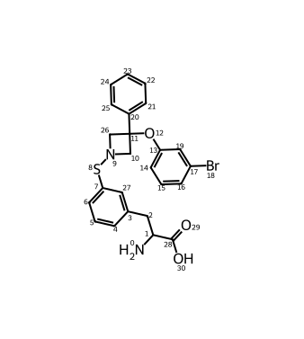 NC(Cc1cccc(SN2CC(Oc3cccc(Br)c3)(c3ccccc3)C2)c1)C(=O)O